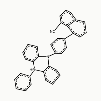 N#Cc1cccc2cccc(-c3ccc(N4c5ccccc5[SiH](c5ccccc5)c5ccccc54)cc3)c12